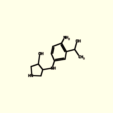 CC(O)c1cc(NC2CNCC2O)ccc1N